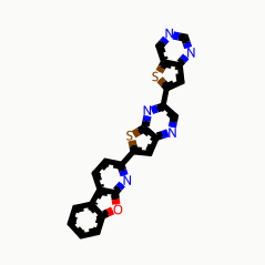 c1ccc2c(c1)oc1nc(-c3cc4ncc(-c5cc6ncncc6s5)nc4s3)ccc12